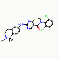 CC(C)N1CCc2cc(Nc3ncc4c(n3)SCN(c3c(Cl)cccc3Cl)C4=O)ccc2C12CC2